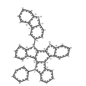 c1ccc(-n2c3ccccc3c3c4c5ccccc5sc4c4c(c5ccccc5n4-c4ccc5sc6ccccc6c5c4)c32)cc1